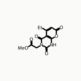 CCc1cc(=O)oc2[nH]c(=O)n(CC(=O)OC)c(=O)c12